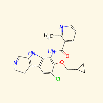 Cc1ncccc1C(=O)Nc1c(OCC2CC2)c(Cl)cc2c3c([nH]c12)C=NCC3